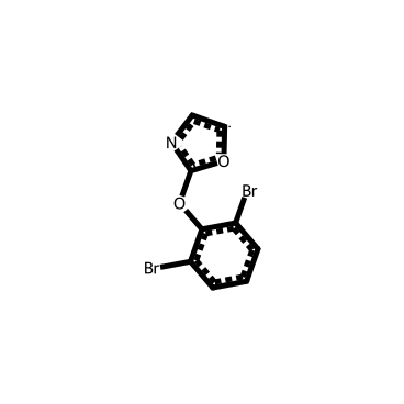 Brc1cccc(Br)c1Oc1nc[c]o1